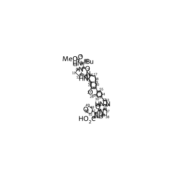 CC[C@H](C)[C@H](NC(=O)OC)C(=O)N1[C@@H](C)CC[C@H]1c1nc2ccc3cc4c(cc3c2[nH]1)OCc1cc(-c2cnc([C@@H]3CC[C@H](C)N3C(=O)[C@@H](NC(=O)O)C3CCOCC3)[nH]2)ccc1-4